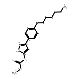 CCCCCCOc1ccc(-c2cc(OC(=O)NC)on2)cc1